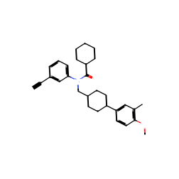 C#Cc1cccc(N(CC2CCC(c3ccc(OC)c(C)c3)CC2)C(=O)C2CCCCC2)c1